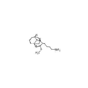 COC(=O)[C@H](CCCCN)NB1[C@H]2CCC[C@@H]1CCC2